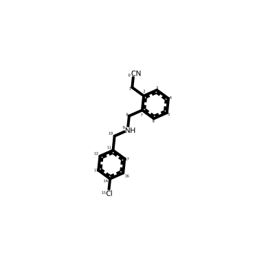 N#CCc1ccccc1CNCc1ccc(Cl)cc1